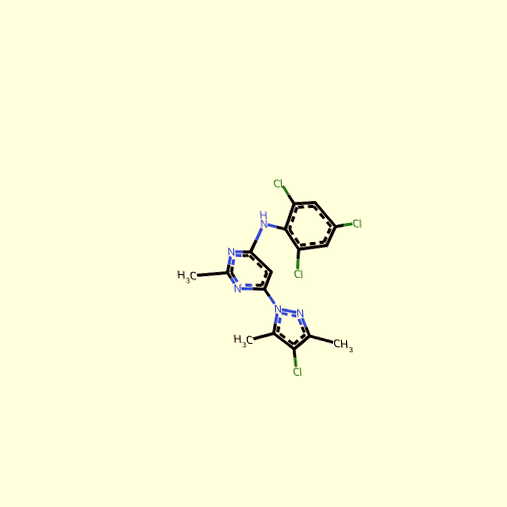 Cc1nc(Nc2c(Cl)cc(Cl)cc2Cl)cc(-n2nc(C)c(Cl)c2C)n1